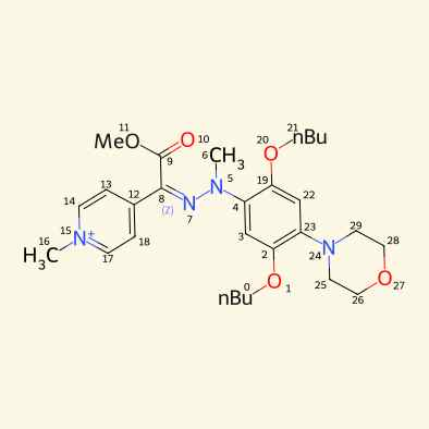 CCCCOc1cc(N(C)/N=C(\C(=O)OC)c2cc[n+](C)cc2)c(OCCCC)cc1N1CCOCC1